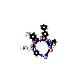 O=C1CCC(=O)N[C@H](Cc2cccs2)C(=O)N[C@@H](Cc2ccc(-c3ccccc3)cc2)C(=O)N[C@H](Cc2ccc(Cl)cc2)C(=O)N[C@H](C(=O)O)Cc2ccc(cc2)N1